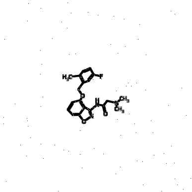 Cc1ccc(F)cc1COc1cccc2onc(NC(=O)CN(C)C)c12